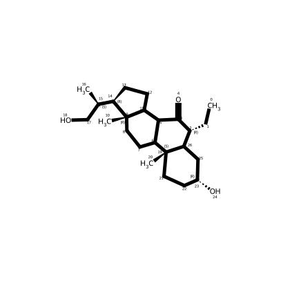 CC[C@H]1C(=O)C2C(CC[C@@]3(C)C2CC[C@@H]3[C@H](C)CO)[C@@]2(C)CC[C@@H](O)CC12